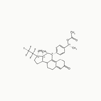 CC(=O)O[C@H](C)c1ccc([C@H]2C[C@@]3(C)C(CC[C@@]3(O)C(F)(F)C(F)(F)F)C3CCC4=CC(=O)CCC4=C32)cc1